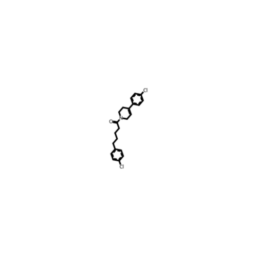 O=C(CCCCc1ccc(Cl)cc1)N1CC=C(c2ccc(Cl)cc2)CC1